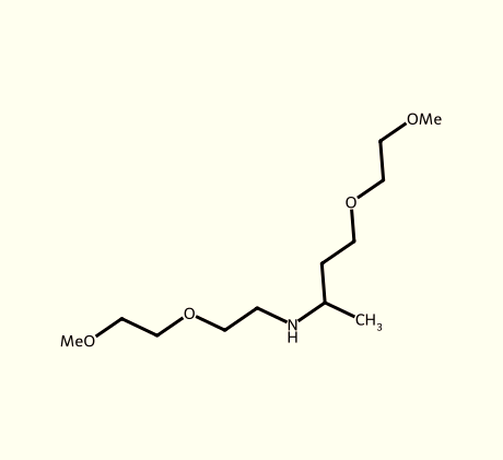 COCCOCCNC(C)CCOCCOC